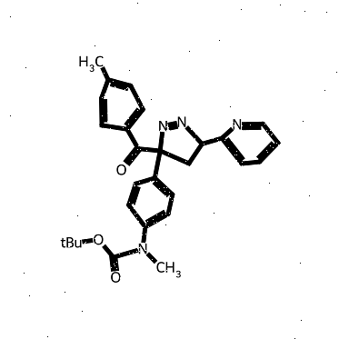 Cc1ccc(C(=O)C2(c3ccc(N(C)C(=O)OC(C)(C)C)cc3)CC(c3ccccn3)N=N2)cc1